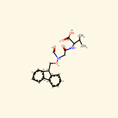 CC(C)C(NC(=O)CN(C=O)OCC1c2ccccc2-c2ccccc21)C(=O)O